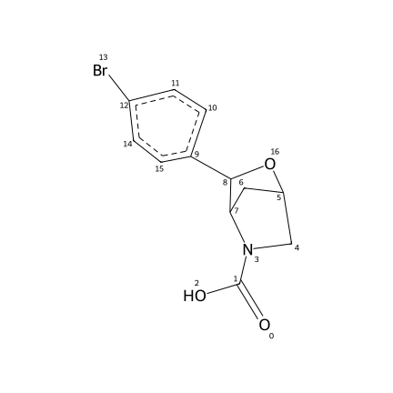 O=C(O)N1CC2CC1C(c1ccc(Br)cc1)O2